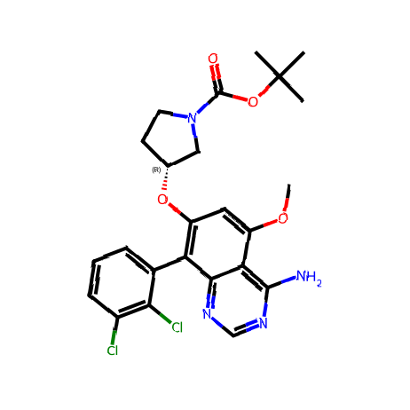 COc1cc(O[C@@H]2CCN(C(=O)OC(C)(C)C)C2)c(-c2cccc(Cl)c2Cl)c2ncnc(N)c12